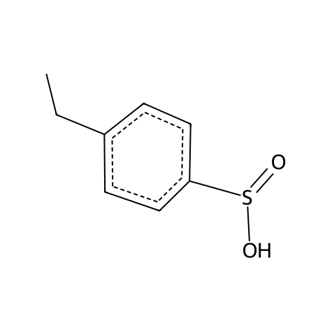 CCc1ccc(S(=O)O)cc1